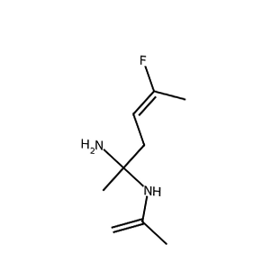 C=C(C)NC(C)(N)C/C=C(\C)F